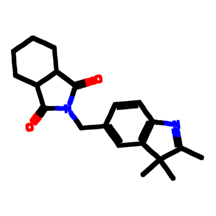 CC1=Nc2ccc(CN3C(=O)C4CCCCC4C3=O)cc2C1(C)C